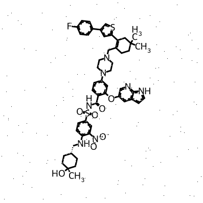 CC1(C)CCC(CN2CCN(c3ccc(C(=O)NS(=O)(=O)c4ccc(NC[C@H]5CC[C@@](C)(O)CC5)c([N+](=O)[O-])c4)c(Oc4cnc5[nH]ccc5c4)c3)CC2)=C(c2cc(-c3ccc(F)cc3)cs2)C1